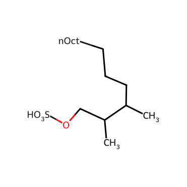 CCCCCCCCCCCC(C)C(C)COS(=O)(=O)O